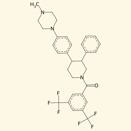 CN1CCN(c2ccc(C3CCN(C(=O)c4cc(C(F)(F)F)cc(C(F)(F)F)c4)CC3c3ccccc3)cc2)CC1